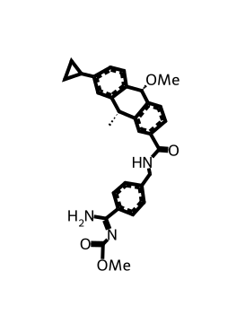 COC(=O)N=C(N)c1ccc(CNC(=O)c2ccc3c(c2)[C@H](C)c2cc(C4CC4)ccc2[C@@H]3OC)cc1